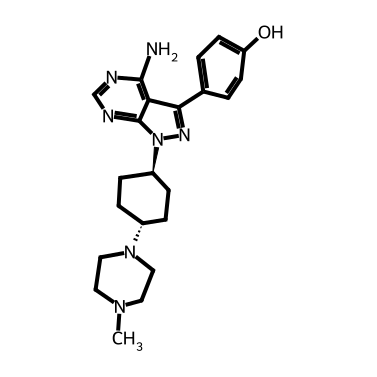 CN1CCN([C@H]2CC[C@H](n3nc(-c4ccc(O)cc4)c4c(N)ncnc43)CC2)CC1